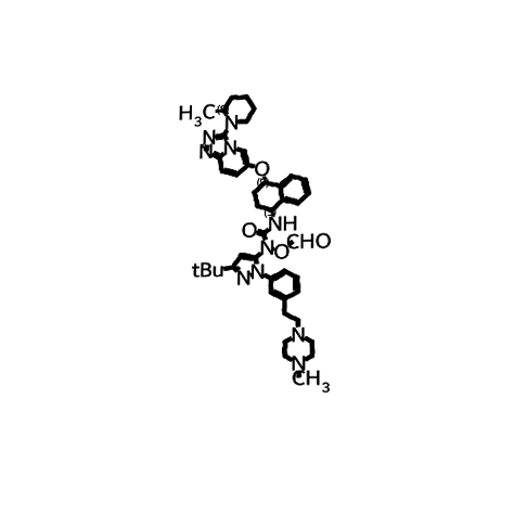 C[C@H]1CCCCN1c1nnc2ccc(O[C@@H]3CC[C@H](NC(=O)N(OC=O)c4cc(C(C)(C)C)nn4-c4cccc(CCN5CCN(C)CC5)c4)c4ccccc43)cn12